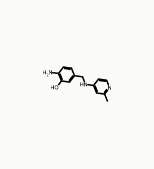 Cc1cc(NCc2ccc(N)c(O)c2)ccn1